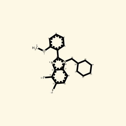 COc1ccccc1-c1nc2c(F)c(F)ccc2n1CC1CCCCC1